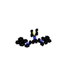 c1ccc2c(c1)-c1ccccc1C21c2ccccc2-c2ccc(-n3c4ccccc4c4cc(-c5ccc6c7ccc(-c8ccc9c(c8)c8ccccc8n9-c8ccc9c(c8)C8(c%10ccccc%10-c%10ccccc%108)c8ccccc8-9)cc7c7nc8c(-c9cccc%10c9sc9ccccc9%10)sc(-c9cccc%10c9sc9ccccc9%10)c8nc7c6c5)ccc43)cc21